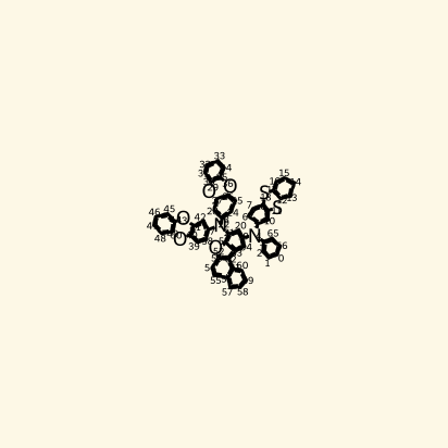 c1ccc(N(c2ccc3c(c2)Sc2ccccc2S3)c2cc(N(c3ccc4c(c3)Oc3ccccc3O4)c3ccc4c(c3)Oc3ccccc3O4)c3oc4ccc5ccccc5c4c3c2)cc1